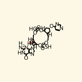 Nc1nc2c(ncn2[C@@H]2O[C@@H]3COP(=O)(O)O[C@H]4C[C@H](Oc5ccncn5)C[C@@H]4CCOP(=O)(S)O[C@@H]2[C@@H]3O)c(=O)[nH]1